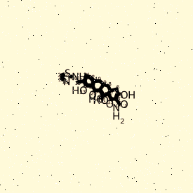 NC(=O)C1=C(O)CC2CC3Cc4ccc(CNc5nccs5)c(O)c4C(=O)C3=C(O)[C@]2(O)C1=O